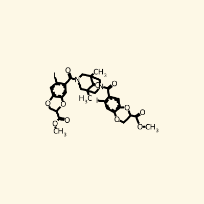 COC(=O)C1COc2cc(I)c(C(=O)N3CC4(C)CN(C(=O)c5cc6c(cc5I)OCC(C(=O)OC)O6)CC(C)(C3)C4=O)cc2O1